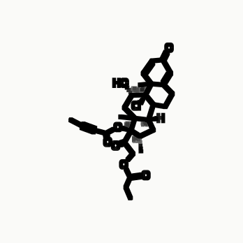 CC#CC(=O)O[C@]1(C(=O)COC(=O)CC)[C@@H](C)C[C@H]2C3CCC4=CC(=O)C=CC4(C)[C@@]3(Cl)[C@@H](O)CC21C